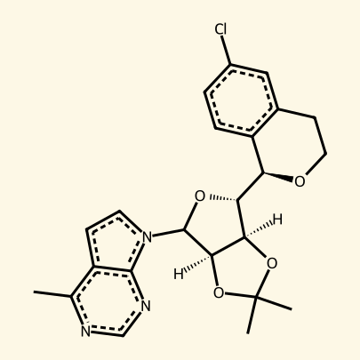 Cc1ncnc2c1ccn2C1O[C@H]([C@@H]2OCCc3cc(Cl)ccc32)[C@H]2OC(C)(C)O[C@@H]12